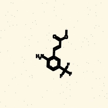 COC(=O)C=Cc1cc(C(F)(F)F)ccc1N